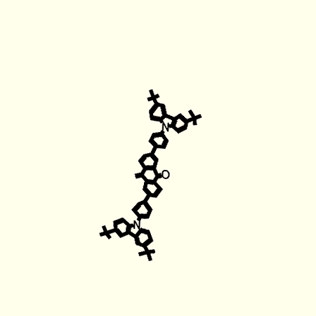 C=C1c2cc(-c3ccc(-n4c5ccc(C(C)(C)C)cc5c5cc(C(C)(C)C)ccc54)cc3)ccc2C(=O)c2cc(-c3ccc(-n4c5ccc(C(C)(C)C)cc5c5cc(C(C)(C)C)ccc54)cc3)ccc21